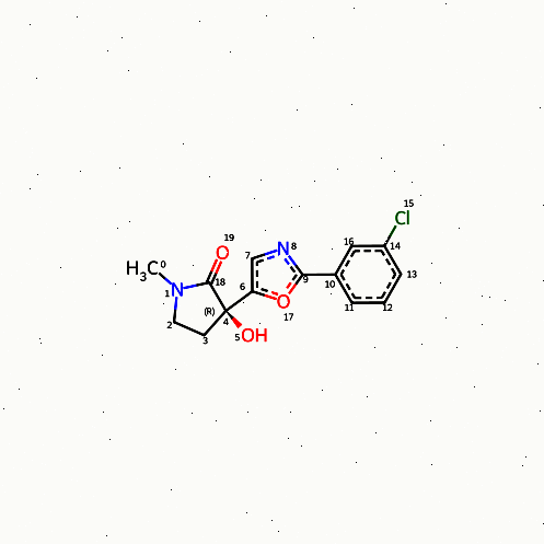 CN1CC[C@@](O)(c2cnc(-c3cccc(Cl)c3)o2)C1=O